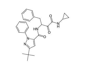 CC(C)(C)c1cc(C(=O)NC(Cc2ccccc2)C(=O)C(=O)NC2CC2)n(-c2ccccc2)n1